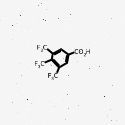 O=C(O)c1cc(C(F)(F)F)c(C(F)(F)F)c(C(F)(F)F)c1